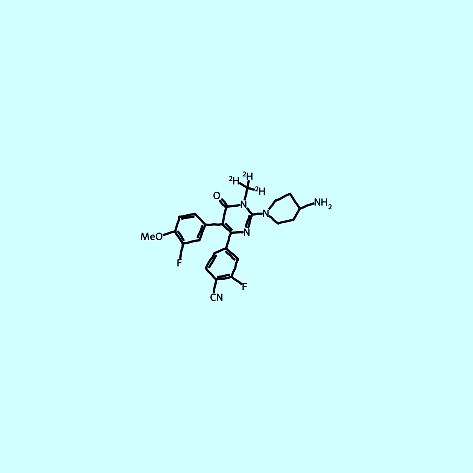 [2H]C([2H])([2H])n1c(N2CCC(N)CC2)nc(-c2ccc(C#N)c(F)c2)c(-c2ccc(OC)c(F)c2)c1=O